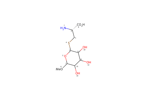 COC1OC(SC[C@H](N)C(=O)O)C(O)C(O)C1O